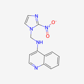 O=[N+]([O-])c1nccn1CNc1ccnc2ccccc12